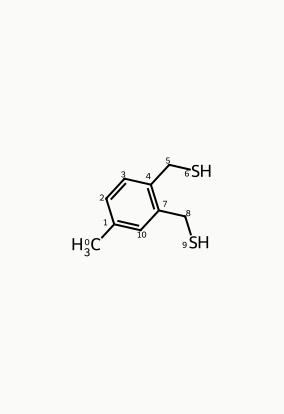 Cc1ccc(CS)c(CS)c1